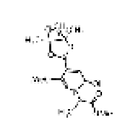 COC(=O)C(C)N1C=C(OC)C(B2OC(C)(C)C(C)(C)O2)=CC1O